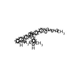 COCCOCCOC(=O)CN1CCC(C2CCN(C(=O)[C@@H](Cc3cc(C)c(O)c(C)c3)OC(=O)N3CCC(N4CCc5ccccc5NC4=O)CC3)CC2)CC1